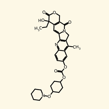 CCC1(O)C(=O)OCc2c1cc1n(c2=O)Cc2c-1nc1ccc(OC(=O)OC3CCC(ON4CCCCC4)CC3)cc1c2C